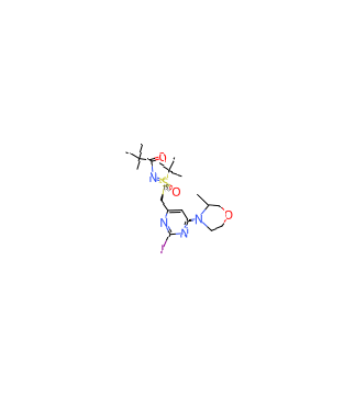 CC1COCCN1c1cc(C[S@@](=O)(=NC(=O)C(C)(C)C)C(C)(C)C)nc(I)n1